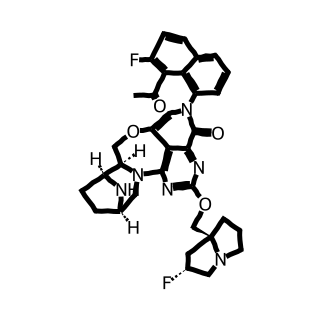 CC(=O)c1c(F)ccc2cccc(-n3cc4c5c(nc(OC[C@@]67CCCN6C[C@H](F)C7)nc5c3=O)N3C[C@H]5CC[C@H](N5)[C@H]3CO4)c12